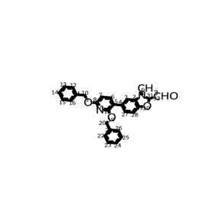 CN1c2cc(-c3ccc(OCc4ccccc4)nc3OCc3ccccc3)ccc2OC1C=O